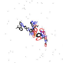 CC(C)c1ccccc1[C@@H]1CCCN1C1CC2(CCN(c3ccc(C(=O)NS(=O)(=O)c4cc5c(c([N+](=O)[O-])c4)N[C@@H](C4CN(C6COC6)[C@H](C)CO4)CO5)c(N4c5cc6cc[nH]c6nc5O[C@@H]5COC[C@H]54)c3)CC2)C1